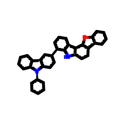 c1ccc(-n2c3ccccc3c3cc(-c4cccc5c4[nH]c4ccc6c7ccccc7oc6c45)ccc32)cc1